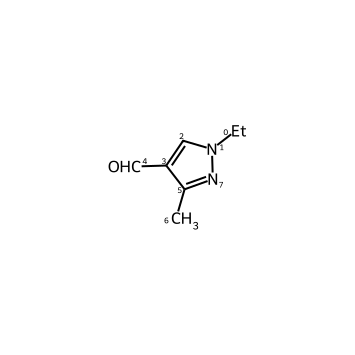 CCn1cc(C=O)c(C)n1